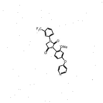 COc1cc(Oc2ccncc2)ccc1N1C(=O)CN(c2cccc(C(F)(F)F)c2)C1=O